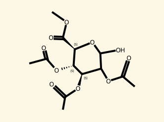 COC(=O)[C@H]1OC(O)C(OC(C)=O)[C@@H](OC(C)=O)[C@@H]1OC(C)=O